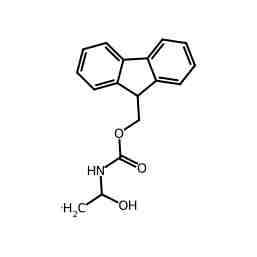 [CH2]C(O)NC(=O)OCC1c2ccccc2-c2ccccc21